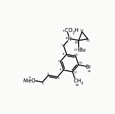 COCC=Cc1cc(CN(C(=O)O)C2(C(C)(C)C)CC2)cc(Br)c1C